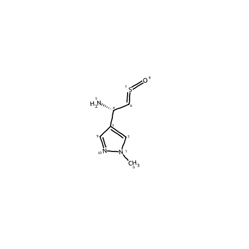 Cn1cc([C@H](N)C=S=O)cn1